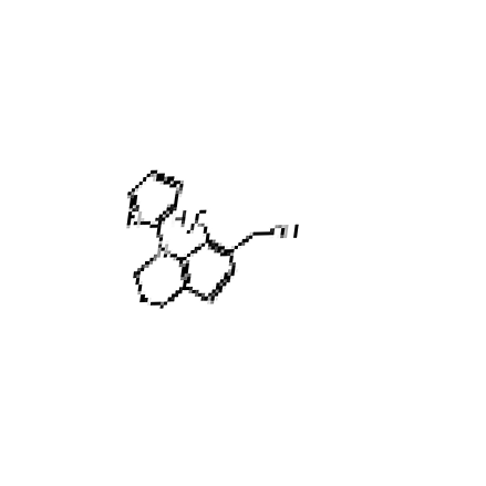 Cc1c(CO)ccc2c1N(c1ccccn1)CCC2